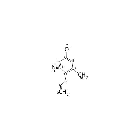 C=CCc1ccc([O-])cc1C.[Na+]